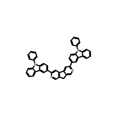 c1ccc(-n2c3ccccc3c3cc(-c4cc5c(cn4)Cc4cnc(-c6ccc7c(c6)c6ccccc6n7-c6ccccc6)cc4-5)ccc32)cc1